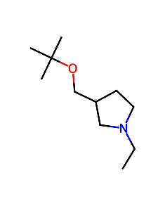 CCN1CCC(COC(C)(C)C)C1